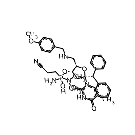 COc1ccc(CNC[C@H]2O[C@@](C(c3ccccc3)c3ccccc3)(n3cc(C)c(=O)[nH]c3=O)C[C@@H]2OP(N)(O)(CCC#N)N(C)C)cc1